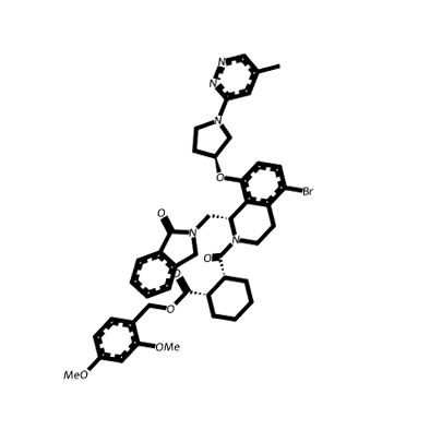 COc1ccc(COC(=O)[C@H]2CCCC[C@H]2C(=O)N2CCc3c(Br)ccc(O[C@H]4CCN(c5cc(C)cnn5)C4)c3[C@H]2CN2Cc3ccccc3C2=O)c(OC)c1